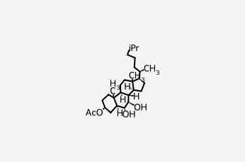 CC(=O)O[C@H]1CC[C@@]2(C)[C@H](C1)[C@@H](O)[C@H](O)[C@@H]1[C@@H]2CC[C@]2(C)[C@@H]([C@H](C)CCCC(C)C)CC[C@@H]12